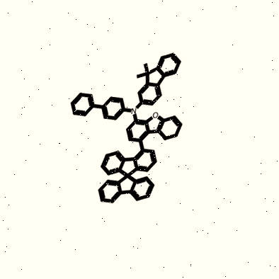 CC1(C)c2ccccc2-c2ccc(N(c3ccc(-c4ccccc4)cc3)c3ccc(-c4cccc5c4-c4ccccc4C54c5ccccc5-c5ccccc54)c4c5c(oc34)C=CCC5)cc21